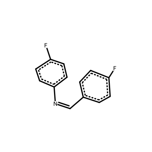 Fc1ccc(/C=N\c2ccc(F)cc2)cc1